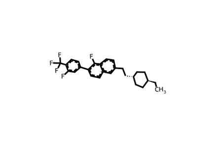 CC[C@H]1CC[C@H](CCc2ccc3c(F)c(-c4ccc(C(F)(F)F)c(F)c4)ccc3c2)CC1